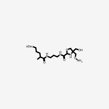 CCCCCCCCCCCCCC(C)C(=O)NCCCNC(=O)C1NC(CO)(CON)CO1